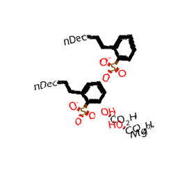 CCCCCCCCCCCCc1ccccc1S(=O)(=O)[O-].CCCCCCCCCCCCc1ccccc1S(=O)(=O)[O-].O=C(O)O.O=C(O)O.[Mg+2]